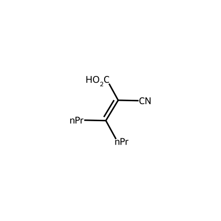 CCCC(CCC)=C(C#N)C(=O)O